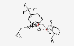 N#CCCN1[C@@H]2CC[C@H]1C[C@@H](Oc1ccc(C(F)(F)F)cc1OCC1CC1)C2